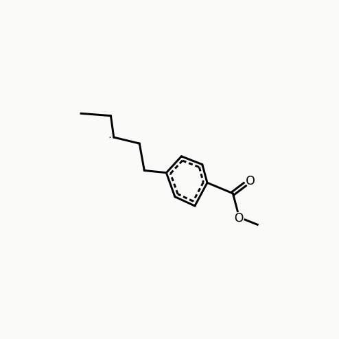 CC[CH]CCc1ccc(C(=O)OC)cc1